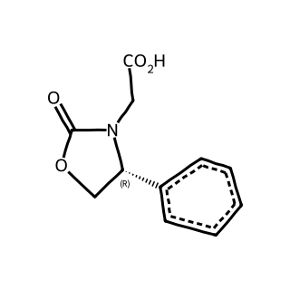 O=C(O)CN1C(=O)OC[C@H]1c1ccccc1